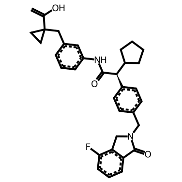 C=C(O)C1(Cc2cccc(NC(=O)[C@H](c3ccc(CN4Cc5c(F)cccc5C4=O)cc3)C3CCCC3)c2)CC1